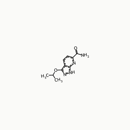 CC(C)Oc1n[nH]c2nc(C(N)=O)ccc12